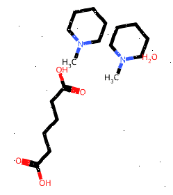 CN1CCCCC1.CN1CCCCC1.O.O=C(O)CCCCC(=O)O